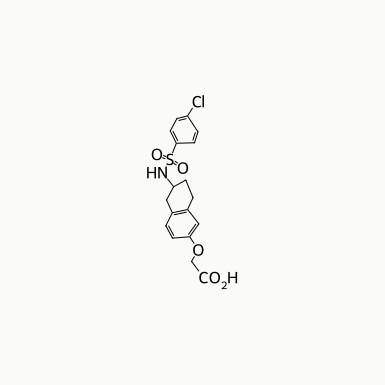 O=C(O)COc1ccc2c(c1)CCC(NS(=O)(=O)c1ccc(Cl)cc1)C2